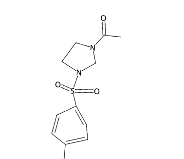 CC(=O)N1CCN(S(=O)(=O)c2ccc(C)cc2)C1